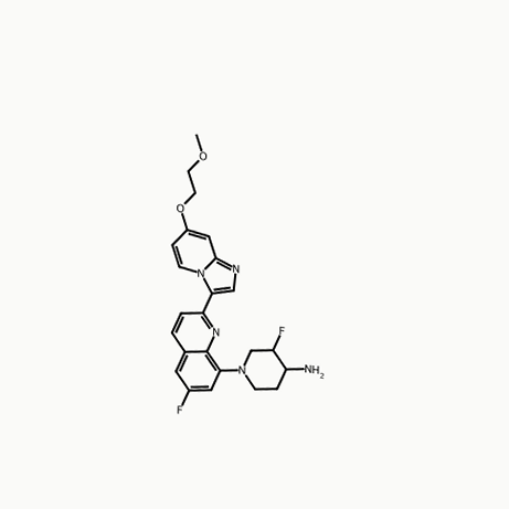 COCCOc1ccn2c(-c3ccc4cc(F)cc(N5CCC(N)C(F)C5)c4n3)cnc2c1